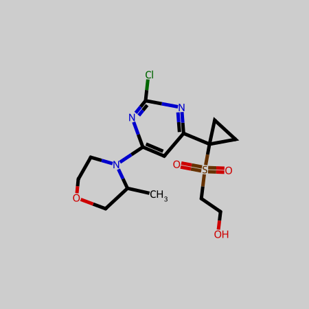 CC1COCCN1c1cc(C2(S(=O)(=O)CCO)CC2)nc(Cl)n1